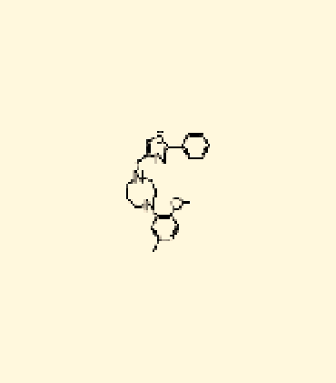 COc1ccc(C)cc1N1CCCN(Cc2csc(-c3ccccc3)n2)CC1